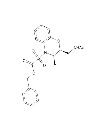 CC(=O)NC[C@@H]1Oc2ccccc2N(S(=O)(=O)C(=O)OCc2ccccc2)[C@@H]1C